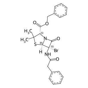 CC1(C)S[C@H]2N(C(=O)[C@@]2(Br)NC(=O)Cc2ccccc2)[C@H]1C(=O)OCc1ccccc1